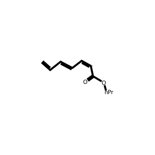 C=C/C=C/C=[C]\C(=O)OCCC